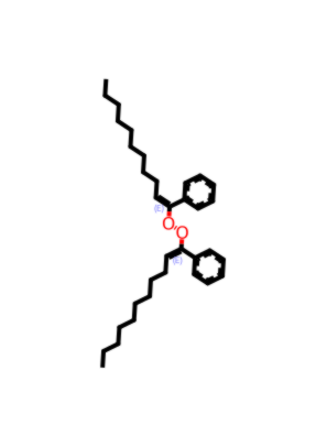 CCCCCCCCC/C=C(/OO/C(=C/CCCCCCCCC)c1ccccc1)c1ccccc1